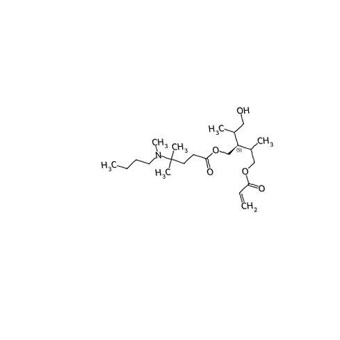 C=CC(=O)OCC(C)[C@@H](COC(=O)CCC(C)(C)N(C)CCCC)C(C)CO